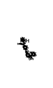 CC#CC(Cc1nnn[nH]1)c1ccc(OCc2ccc3sc(C)c(-c4ccccc4C)c3c2)cc1